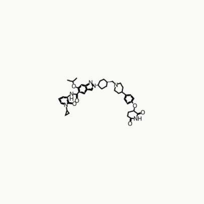 CC(C)Oc1cc2nn([C@H]3CC[C@H](CN4CCC(c5ccc(OC6CCC(=O)NC6=O)cc5)CC4)CC3)cc2cc1C(=O)Nc1cccn(C2CC2)c1=O